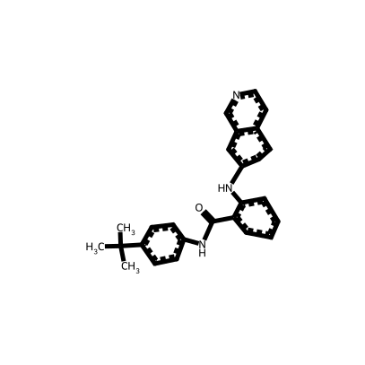 CC(C)(C)c1ccc(NC(=O)c2ccccc2Nc2ccc3ccncc3c2)cc1